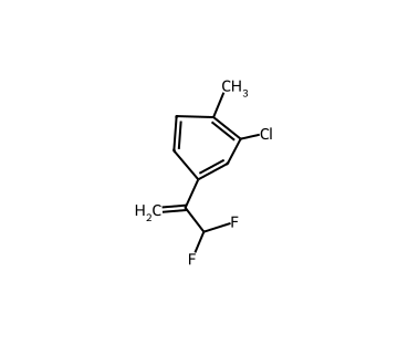 C=C(c1ccc(C)c(Cl)c1)C(F)F